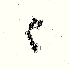 Cc1nc(Nc2ncc(C=O)s2)cc(N2CCN(CCCCC(=O)N3CC4(C3)CN(c3ccc(C5CCC(=O)NC5=O)cc3)C4)CC2)n1